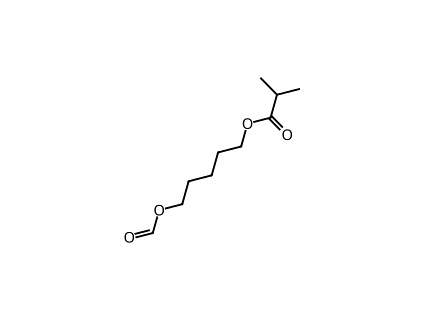 CC(C)C(=O)OCCCCCOC=O